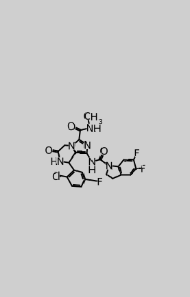 CNC(=O)c1nc(NC(=O)N2CCc3cc(F)c(F)cc32)c2n1CC(=O)NC2c1cc(F)ccc1Cl